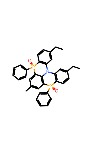 CCc1ccc2c(c1)N1c3cc(CC)ccc3P(=O)(c3ccccc3)c3cc(C)cc(c31)P2(=O)c1ccccc1